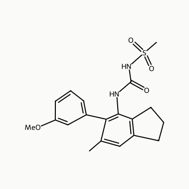 COc1cccc(-c2c(C)cc3c(c2NC(=O)NS(C)(=O)=O)CCC3)c1